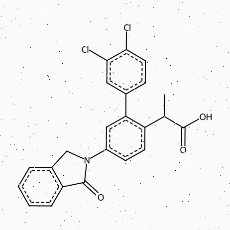 CC(C(=O)O)c1ccc(N2Cc3ccccc3C2=O)cc1-c1ccc(Cl)c(Cl)c1